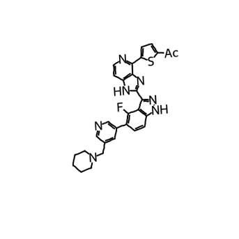 CC(=O)c1ccc(-c2nccc3[nH]c(-c4n[nH]c5ccc(-c6cncc(CN7CCCCC7)c6)c(F)c45)nc23)s1